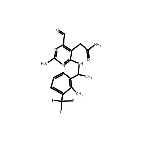 Cc1nc(C=O)c(CC(N)=O)c(NC(C)c2cccc(C(F)(F)F)c2C)n1